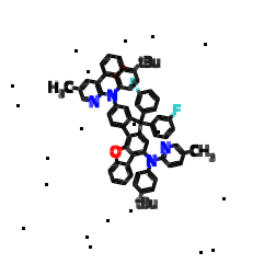 Cc1ccc(N(c2ccc(C(C)(C)C)cc2)c2cc3c(c4oc5ccccc5c24)-c2ccc(N(c4ccc(C(C)(C)C)cc4)c4ncc(C)cc4-c4ccccc4)cc2C3(c2cccc(F)c2)c2cccc(F)c2)nc1